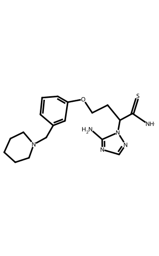 [NH]C(=S)C(CCOc1cccc(CN2CCCCC2)c1)n1ncnc1N